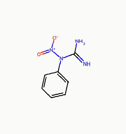 N=C(N)N(c1ccccc1)[N+](=O)[O-]